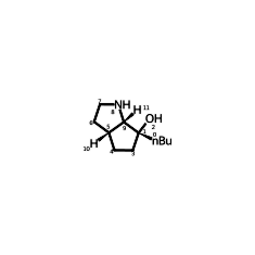 CCCC[C@@]1(O)CC[C@@H]2CCN[C@@H]21